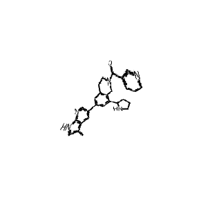 Cc1c[nH]c2ncc(-c3cc4c(c(C5CCCN5)c3)CN(C(=O)c3cccnc3)CC4)cc12